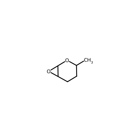 CC1CCC2OC2O1